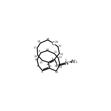 [N-]=[N+]=N/C1=C(\C2=C/CCCCCCCC2)CCCCCCCC1